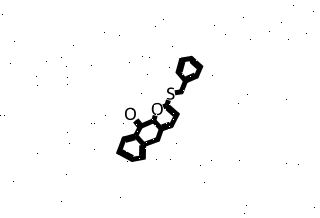 O=C1c2ccccc2CC2=CC=C(SCc3ccccc3)OC12